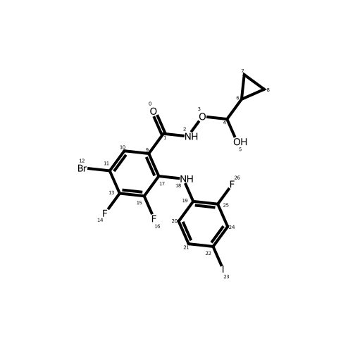 O=C(NOC(O)C1CC1)c1cc(Br)c(F)c(F)c1Nc1ccc(I)cc1F